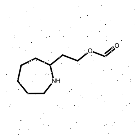 O=COCCC1CCCCCN1